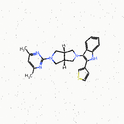 Cc1cc(C)nc(N2C[C@@H]3CN(c4c(-c5ccsc5)[nH]c5ccccc45)C[C@@H]3C2)n1